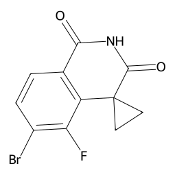 O=C1NC(=O)C2(CC2)c2c1ccc(Br)c2F